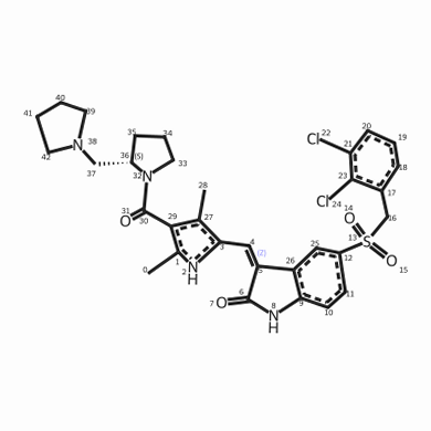 Cc1[nH]c(/C=C2\C(=O)Nc3ccc(S(=O)(=O)Cc4cccc(Cl)c4Cl)cc32)c(C)c1C(=O)N1CCC[C@H]1CN1CCCC1